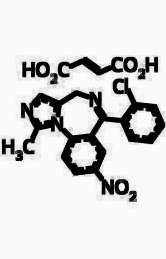 Cc1ncc2n1-c1ccc([N+](=O)[O-])cc1C(c1ccccc1Cl)=NC2.O=C(O)C=CC(=O)O